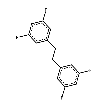 Fc1cc(F)cc([CH]Cc2cc(F)cc(F)c2)c1